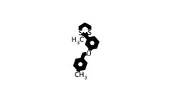 Cc1ccc(COc2cccc(C3(C)SCCCS3)c2)cc1